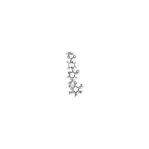 CC(C)(C)OC(=O)N1CCN(c2ncc(C(=O)Oc3c(F)c(F)c(F)c(F)c3F)cc2Cl)CC1